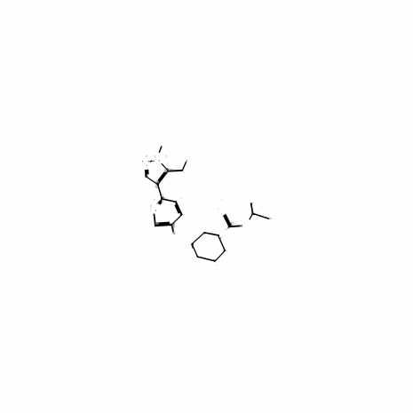 CC(C)OC(=O)[C@H]1CCC[C@H](Oc2ccc(-c3cnn(C)c3CBr)nc2)C1